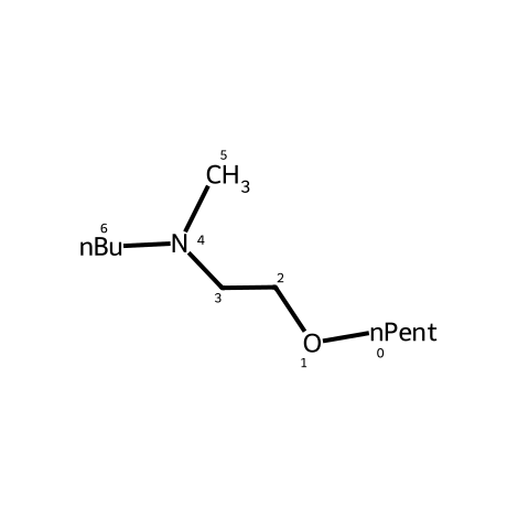 CCCCCOCCN(C)CCCC